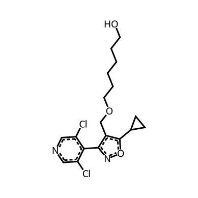 OCCCCCCOCc1c(-c2c(Cl)cncc2Cl)noc1C1CC1